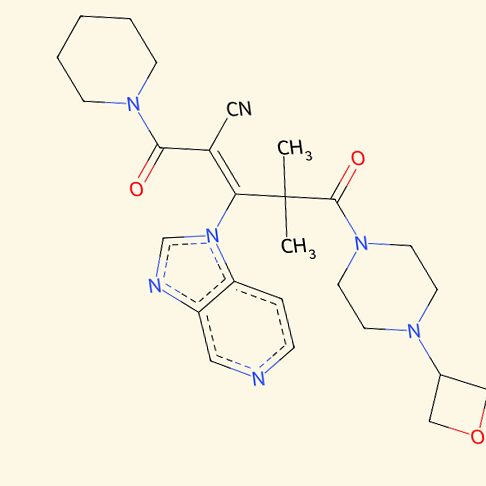 CC(C)(C(=O)N1CCN(C2COC2)CC1)C(=C(C#N)C(=O)N1CCCCC1)n1cnc2cnccc21